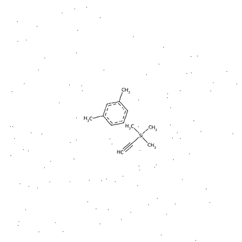 C#C[Si](C)(C)C.Cc1cccc(C)c1